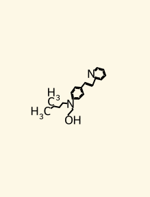 CC(C)CCN(CCO)c1ccc(/C=C/c2ccccn2)cc1